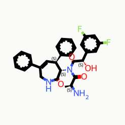 C[C@H](N)C(=O)N(C(=O)[C@@H](O)c1cc(F)cc(F)c1)[C@@H]1C(=O)NCC(c2ccccc2)=C[C@H]1c1ccccc1